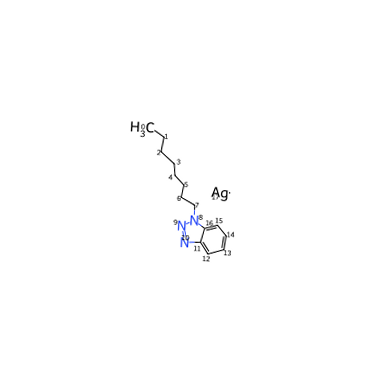 CCCCCCCCn1nnc2ccccc21.[Ag]